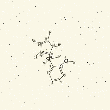 COc1ccccc1[Si](C)(C)C1=C(C)C(C)=C(C)C1C